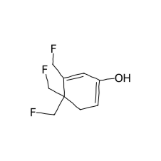 OC1=CCC(CF)(CF)C(CF)=C1